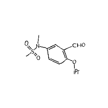 CC(C)Oc1ccc(N(C)S(C)(=O)=O)cc1C=O